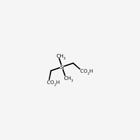 C[Si](C)(CC(=O)O)CC(=O)O